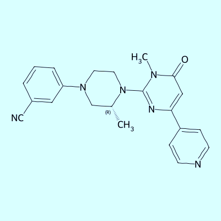 C[C@@H]1CN(c2cccc(C#N)c2)CCN1c1nc(-c2ccncc2)cc(=O)n1C